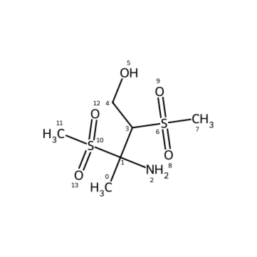 CC(N)(C(CO)S(C)(=O)=O)S(C)(=O)=O